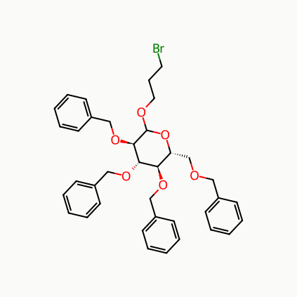 BrCCCOC1O[C@H](COCc2ccccc2)[C@@H](OCc2ccccc2)[C@H](OCc2ccccc2)[C@H]1OCc1ccccc1